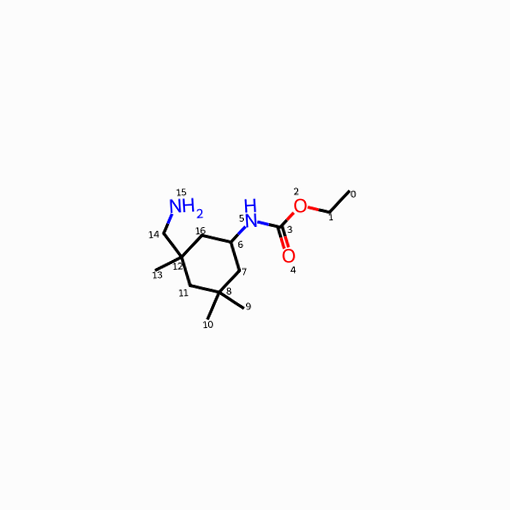 CCOC(=O)NC1CC(C)(C)CC(C)(CN)C1